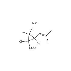 CC(C)=CC1(Cl)C(C)(C)C1(Cl)C(=O)[O-].[Na+]